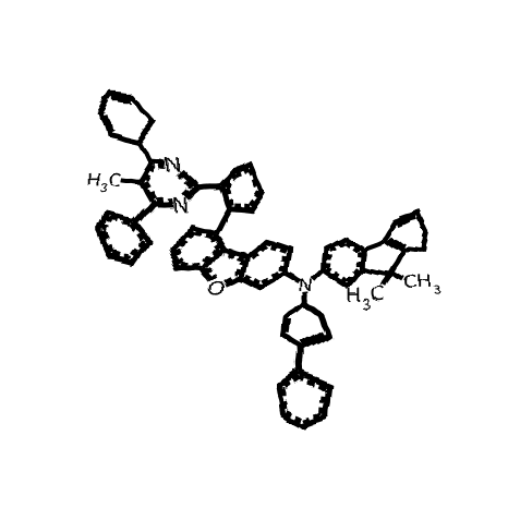 Cc1c(-c2ccccc2)nc(-c2ccccc2-c2cccc3oc4cc(N(c5ccc6c(c5)C(C)(C)C5=C6C=CCC5)C5C=CC(c6ccccc6)=CC5)ccc4c23)nc1C1C=CC=CC1